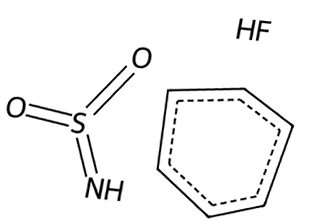 F.N=S(=O)=O.c1ccccc1